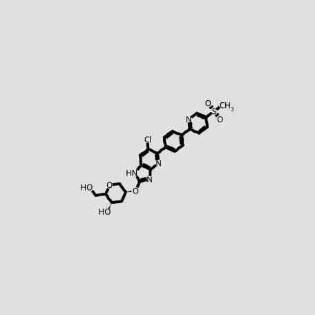 CS(=O)(=O)c1ccc(-c2ccc(-c3nc4nc(O[C@H]5COC(CO)[C@@H](O)C5)[nH]c4cc3Cl)cc2)nc1